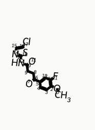 COc1ccc(C(=O)CCC(=O)Nc2ncc(Cl)s2)cc1F